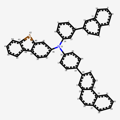 c1cc(-c2ccc3ccccc3c2)cc(N(c2ccc(-c3ccc4c(ccc5ccccc54)c3)cc2)c2ccc3c(c2)sc2ccccc23)c1